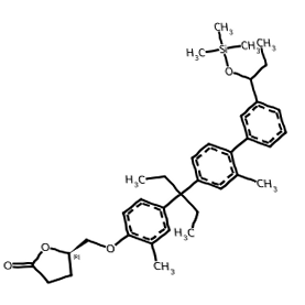 CCC(O[Si](C)(C)C)c1cccc(-c2ccc(C(CC)(CC)c3ccc(OC[C@H]4CCC(=O)O4)c(C)c3)cc2C)c1